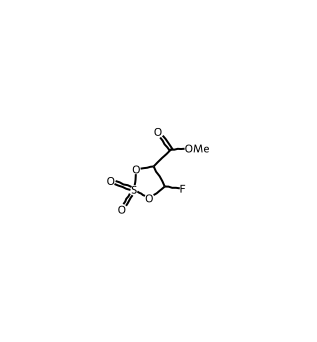 COC(=O)C1OS(=O)(=O)OC1F